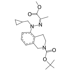 COC(=O)C(C)=NN(CC1CC1)c1cccc2c1CCN(C(=O)OC(C)(C)C)C2